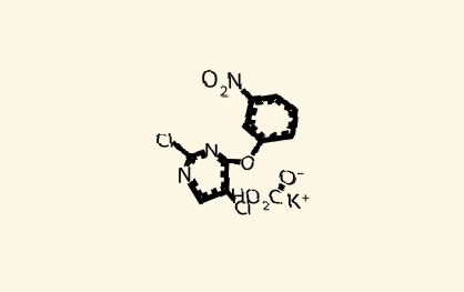 O=C([O-])O.O=[N+]([O-])c1cccc(Oc2nc(Cl)ncc2Cl)c1.[K+]